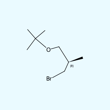 C[C@@H](CBr)COC(C)(C)C